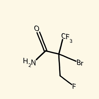 NC(=O)C(Br)(CF)C(F)(F)F